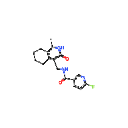 Cc1[nH]c(=O)c(CNC(=O)c2ccc(F)nc2)c2c1CCCC2